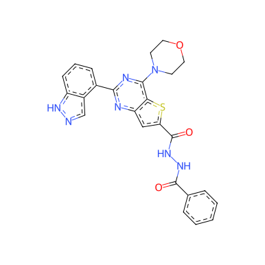 O=C(NNC(=O)c1cc2nc(-c3cccc4[nH]ncc34)nc(N3CCOCC3)c2s1)c1ccccc1